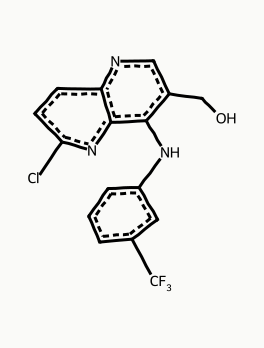 OCc1cnc2ccc(Cl)nc2c1Nc1cccc(C(F)(F)F)c1